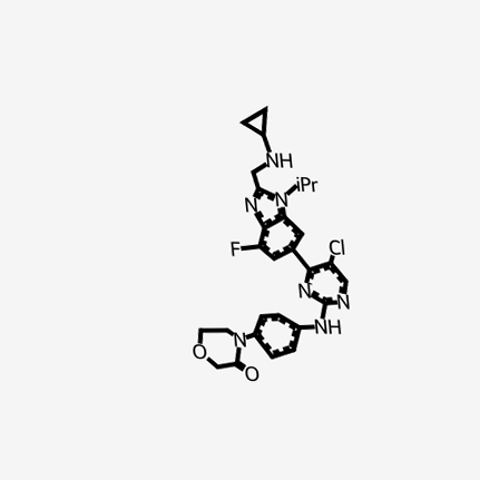 CC(C)n1c(CNC2CC2)nc2c(F)cc(-c3nc(Nc4ccc(N5CCOCC5=O)cc4)ncc3Cl)cc21